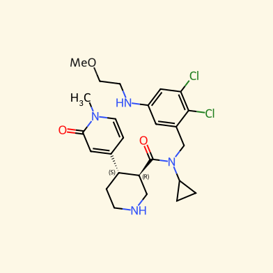 COCCNc1cc(Cl)c(Cl)c(CN(C(=O)[C@H]2CNCC[C@@H]2c2ccn(C)c(=O)c2)C2CC2)c1